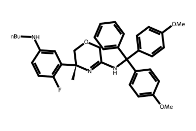 CCCCNc1ccc(F)c([C@]2(C)COCC(NC(c3ccccc3)(c3ccc(OC)cc3)c3ccc(OC)cc3)=N2)c1